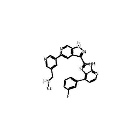 CCNCc1cncc(-c2cc3c(-c4nc5c(-c6cccc(F)c6)ccnc5[nH]4)n[nH]c3cn2)c1